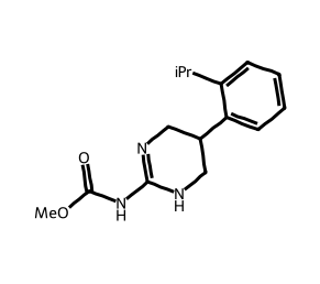 COC(=O)NC1=NCC(c2ccccc2C(C)C)CN1